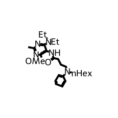 CCCCCCN(CCCC(=O)Nc1c(OC)nc(C)nc1N(CC)CC)c1ccccc1